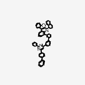 c1ccc(-c2ccc(-c3cc(-c4cccc(-c5cccc(-c6cccc7c6nc(-c6cccc8ccccc68)c6oc8ccccc8c67)c5)c4)nc(-c4ccccc4)n3)cc2)cc1